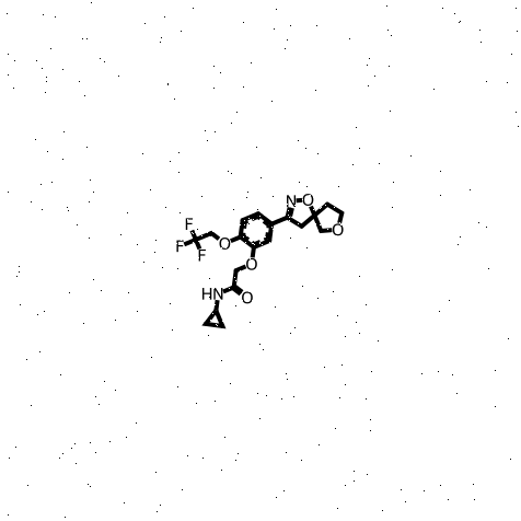 O=C(COc1cc(C2=NOC3(CCOC3)C2)ccc1OCC(F)(F)F)NC1CC1